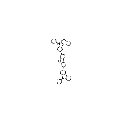 c1ccc(-n2c3ccccc3c3cc(-c4ccc5c(c4)oc4cc(-c6ccc7c(c6)c6c8ccccc8ccc6n7-c6ccccc6)ccc45)ccc32)cc1